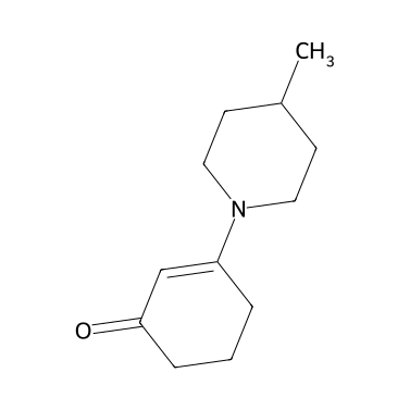 CC1CCN(C2=CC(=O)CCC2)CC1